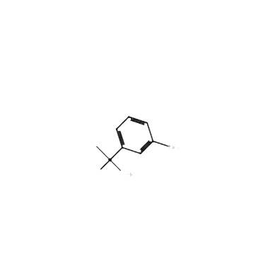 CC(S)([C]=O)c1cccc([N+](=O)[O-])c1